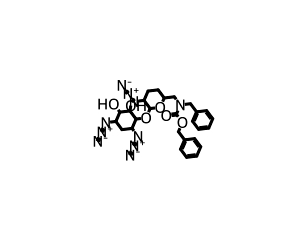 [N-]=[N+]=NC1CCC(CN(Cc2ccccc2)C(=O)OCc2ccccc2)OC1OC1C(N=[N+]=[N-])CC(N=[N+]=[N-])C(O)C1O